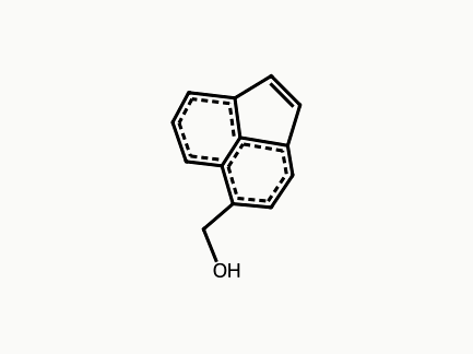 OCc1ccc2c3c(cccc13)C=C2